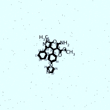 COC(=O)C1=C(N)Oc2c(c(-c3ccccc3)nn2C)C1c1ccc(-n2ccnc2)cc1